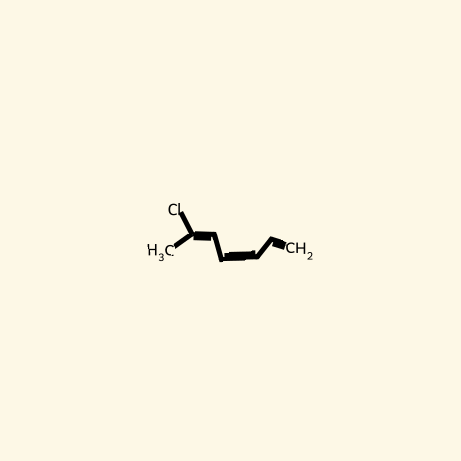 C=C/C=C\C=C(/C)Cl